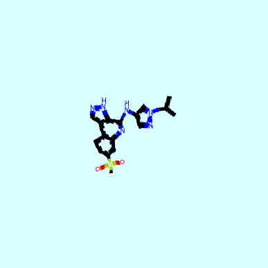 CC(C)n1cc(Nc2nc3cc(S(C)(=O)=O)ccc3c3cn[nH]c23)cn1